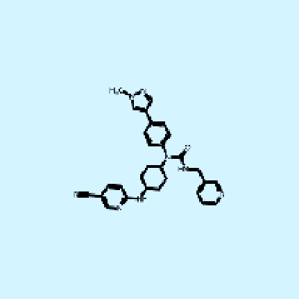 Cn1cc(-c2ccc(N(C(=O)NCc3cccnc3)C3CCC(Nc4ccc(C#N)cn4)CC3)cc2)cn1